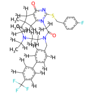 [2H]c1c([2H])c(-c2c([2H])c([2H])c(C(F)(F)F)c([2H])c2[2H])c([2H])c([2H])c1CN(C(=O)C([2H])([2H])n1c(SCc2ccc(F)cc2)nc(=O)c2c1C([2H])([2H])C([2H])(C)C2([2H])[2H])C([2H])([2H])C([2H])([2H])N(C([2H])([2H])C)C([2H])([2H])C